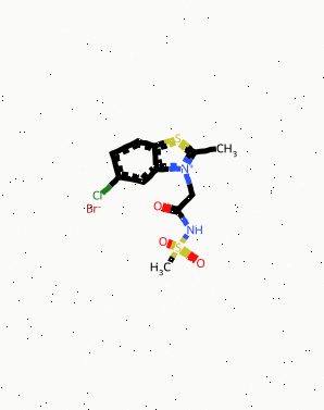 Cc1sc2ccc(Cl)cc2[n+]1CC(=O)NS(C)(=O)=O.[Br-]